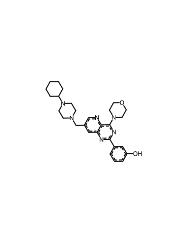 Oc1cccc(-c2nc(N3CCOCC3)c3ncc(CN4CCN(C5CCCCC5)CC4)cc3n2)c1